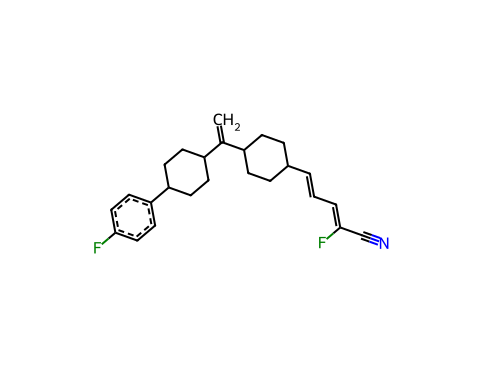 C=C(C1CCC(C=CC=C(F)C#N)CC1)C1CCC(c2ccc(F)cc2)CC1